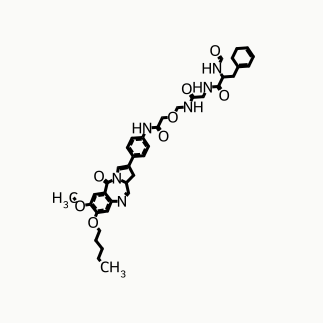 CCCCCOc1cc2c(cc1OC)C(=O)N1C=C(c3ccc(NC(=O)COCNC(=O)CNC(=O)C(CC4=CC=CCC4)NC=O)cc3)CC1C=N2